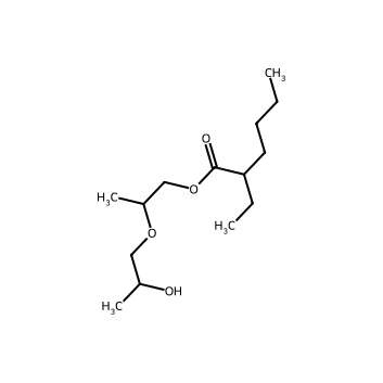 CCCCC(CC)C(=O)OCC(C)OCC(C)O